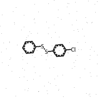 Clc1ccc(SSc2ccccc2)cc1